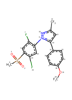 CS(=O)(=O)c1cc(F)c(-n2nc(C(F)(F)F)cc2-c2ccc(OC(F)(F)F)cc2)cc1F